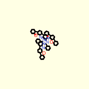 c1ccc(-n2c3ccccc3c3ccc4c5ccccc5oc4c32)c(-c2nc(-c3ccccc3-n3c4ccccc4c4ccc5c6ccccc6oc5c43)nc(-n3c4ccccc4c4ccc5c6ccccc6oc5c43)n2)c1